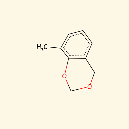 Cc1cccc2c1OCOC2